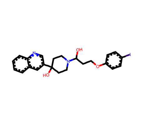 OC(CCOc1ccc(I)cc1)N1CCC(O)(c2cnc3ccccc3c2)CC1